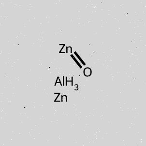 [AlH3].[O]=[Zn].[Zn]